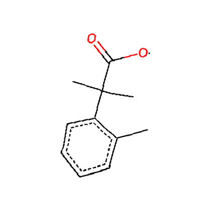 Cc1ccccc1C(C)(C)C([O])=O